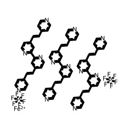 C(=Cc1ccnc(-c2cc(C=Cc3ccncc3)ccn2)c1)c1ccncc1.C(=Cc1ccnc(-c2cc(C=Cc3ccncc3)ccn2)c1)c1ccncc1.C(=Cc1ccnc(-c2cc(C=Cc3ccncc3)ccn2)c1)c1ccncc1.F[P-](F)(F)(F)(F)F.F[P-](F)(F)(F)(F)F.[Fe+2]